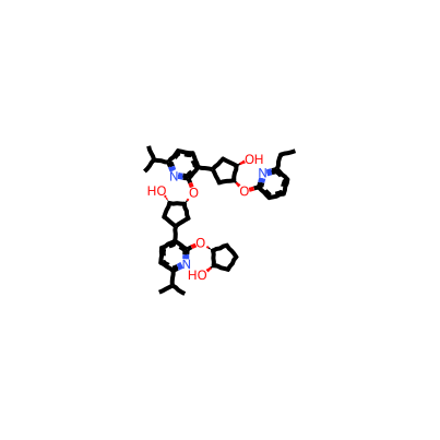 CCc1cccc(O[C@H]2CC(c3ccc(C(C)C)nc3O[C@@H]3CC(c4ccc(C(C)C)nc4O[C@@H]4CCC[C@H]4O)C[C@@H]3O)C[C@H]2O)n1